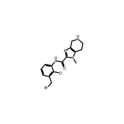 Cn1c(C(=O)Nc2cccc(CBr)c2Cl)nc2c1CCNC2